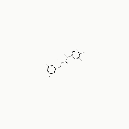 Cc1cc(N(C)C(=O)[C@@H](N)Cc2cc(F)cc(F)c2)cnc1C